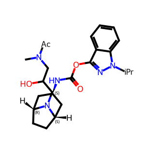 CC(=O)N(C)CC(O)CN1[C@@H]2CC[C@H]1C[C@H](NC(=O)Oc1nn(C(C)C)c3ccccc13)C2